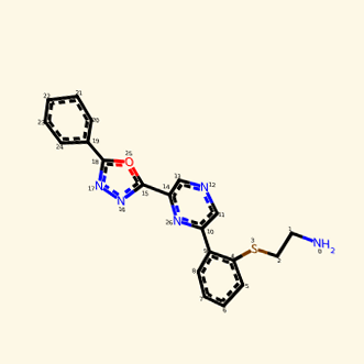 NCCSc1ccccc1-c1cncc(-c2nnc(-c3ccccc3)o2)n1